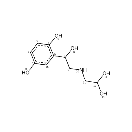 Oc1ccc(O)c(C(O)CNCC(O)O)c1